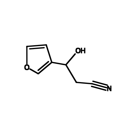 N#CCC(O)c1ccoc1